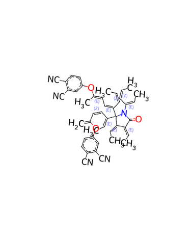 C=C(/C=C\C(=C/C)C1(C(/C=C\C)=C/C=C(\C)Oc2ccc(C#N)c(C#N)c2)C(=C/C)/C(=C\C)C(=O)N1C(/C=C\C)=C/C)Oc1ccc(C#N)c(C#N)c1